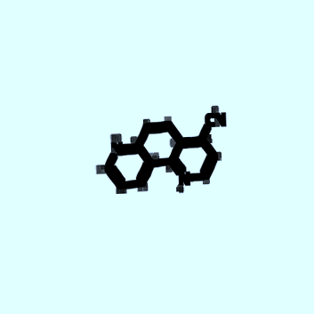 N#Cc1ccnc2c1ccc1ncccc12